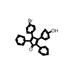 O=C1C(c2ccccc2)=C(c2ccc(O)cc2)C(c2ccc(Br)cc2)=C1c1ccccc1